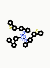 c1ccc(-c2ccccc2-c2cccc(-c3nc(-n4c5ccccc5c5ccc(-c6ccc7sc8ccccc8c7c6)cc54)nc(-n4c5ccccc5c5ccc(-c6ccc7sc8ccccc8c7c6)cc54)n3)c2)cc1